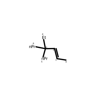 CC=CC(CC)(CCC)CCC